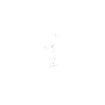 O=C(COc1ccc([C@@H]2[C@@H](SCC(O)c3ccc4c(c3)OCO4)C(=O)N2c2ccc(F)cc2)cc1)NCC(=O)N[C@H](CC1CCCCC1)C(=O)O